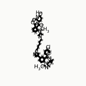 Cc1nnc2n1-c1ccc(-c3cnn(CCCCCCN4CC(N(C)c5cccc6c5C(=O)N(C5CCC(=O)NC5=O)C6=O)C4)c3)cc1C(c1ccc(Cl)cc1)=NC21CC1